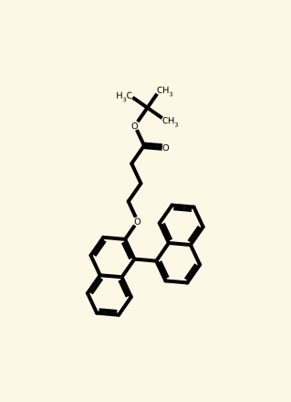 CC(C)(C)OC(=O)CCCOc1ccc2ccccc2c1-c1cccc2ccccc12